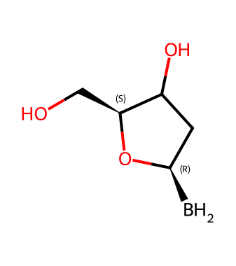 B[C@@H]1CC(O)[C@H](CO)O1